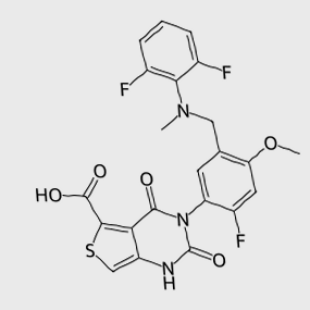 COc1cc(F)c(-n2c(=O)[nH]c3csc(C(=O)O)c3c2=O)cc1CN(C)c1c(F)cccc1F